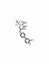 CC(C)(C)OC(=O)NC(COS(C)(=O)=O)Cc1ccc(-c2ccc(F)c(Cl)c2)cc1